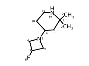 CC1(C)CC(N2CC(F)C2)CCN1